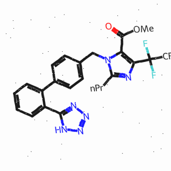 CCCc1nc(C(F)(F)C(F)(F)F)c(C(=O)OC)n1Cc1ccc(-c2ccccc2-c2nnn[nH]2)cc1